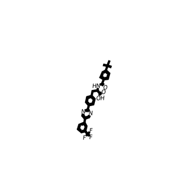 CC(C)(C)c1ccc(C(=O)NC(Cc2ccc(-c3ncc(-c4cccc(C(F)(F)F)c4)cn3)cc2)C(=O)O)cc1